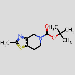 Cc1nc2c(s1)CCN(C(=O)OC(C)(C)C)C2